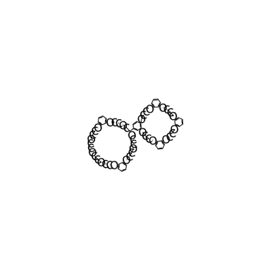 c1ccc2c(c1)OCCOCCOCCOCCOc1ccccc1OCCOCC(c1ccc3c(c1)OCCOc1ccccc1OCCOc1ccccc1OCCOc1ccccc1OCCO3)OCCOCCO2